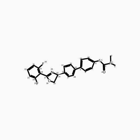 CN(C)C(=O)Sc1ccc(-c2ccc([C@H]3COC(c4c(F)cccc4F)=N3)cc2)cc1